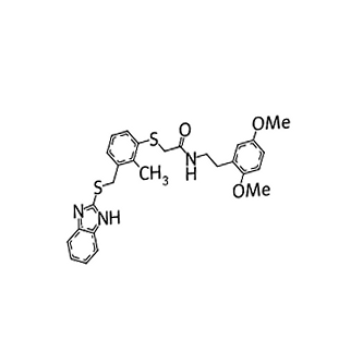 COc1ccc(OC)c(CCNC(=O)CSc2cccc(CSc3nc4ccccc4[nH]3)c2C)c1